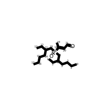 CCCCC(CC)CP(=O)(CC(CC)CCCC)C(C)=C[C]=O